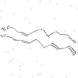 CC/C=C/CC/C=C/C=O.CC/C=C/CCCCC=O